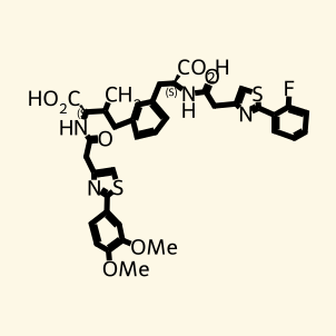 COc1ccc(-c2nc(CC(=O)N[C@H](C(=O)O)C(C)Cc3cccc(C[C@H](NC(=O)Cc4csc(-c5ccccc5F)n4)C(=O)O)c3)cs2)cc1OC